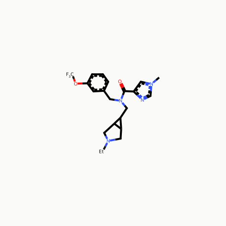 CCN1CC2C(C1)C2CN(Cc1cccc(OC(F)(F)F)c1)C(=O)c1cn(C)cn1